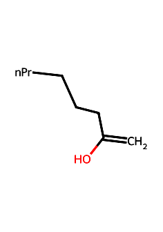 [CH2]CCCCCC(=C)O